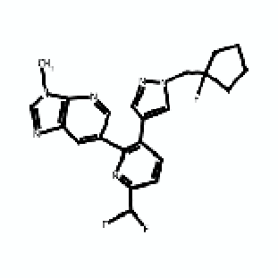 Cn1cnc2cc(-c3nc(C(F)F)ccc3-c3cnn(CC4(F)CCCC4)c3)cnc21